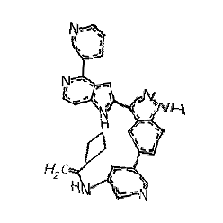 C=C(Nc1cncc(-c2ccc3[nH]nc(-c4cc5c(-c6cccnc6)nccc5[nH]4)c3c2)c1)C1CCC1